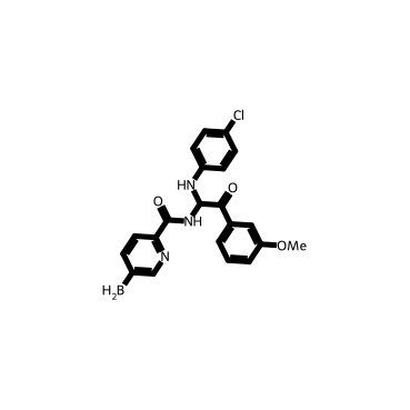 Bc1ccc(C(=O)NC(Nc2ccc(Cl)cc2)C(=O)c2cccc(OC)c2)nc1